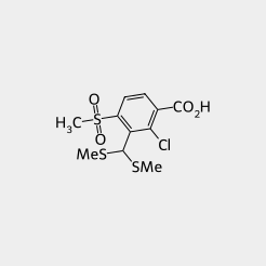 CSC(SC)c1c(S(C)(=O)=O)ccc(C(=O)O)c1Cl